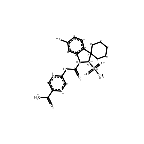 CC(=O)c1cnc(NC(=O)N2c3cc(F)ccc3C3(CCCCC3)[C@H]2S(C)(=O)=O)cn1